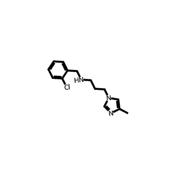 Cc1cn(CCCNCc2ccccc2Cl)cn1